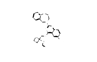 C=CNC1(CNc2nc(N3CCSc4ccccc4C3)nc3ccc(C)cc23)CCC1